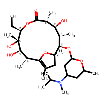 CC[C@H]1OC(=O)[C@H](C)[C@@H](O)[C@H](C)[C@@H](OC2CC(N(C)C(C)C)CC(C)O2)[C@@]2(C)CC(C)=C(O2)[C@H](C)[C@@H](O)[C@]1(C)O